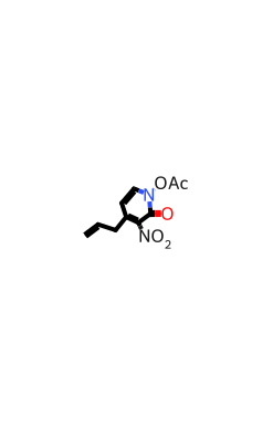 C=CCc1ccn(OC(C)=O)c(=O)c1[N+](=O)[O-]